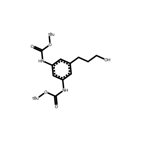 CC(C)(C)OC(=O)Nc1cc(CCCO)cc(NC(=O)OC(C)(C)C)c1